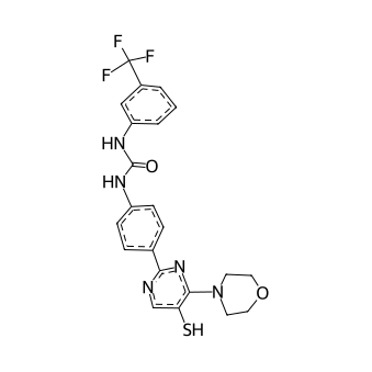 O=C(Nc1ccc(-c2ncc(S)c(N3CCOCC3)n2)cc1)Nc1cccc(C(F)(F)F)c1